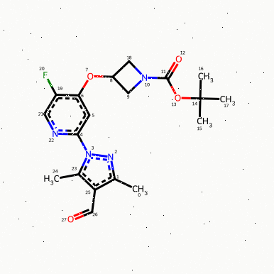 Cc1nn(-c2cc(OC3CN(C(=O)OC(C)(C)C)C3)c(F)cn2)c(C)c1C=O